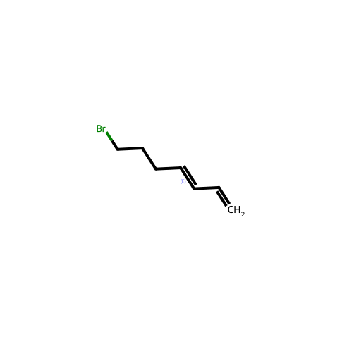 C=C/C=C/CCCBr